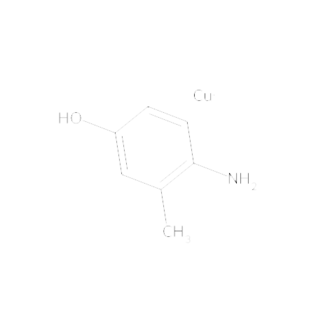 Cc1cc(O)ccc1N.[Cu]